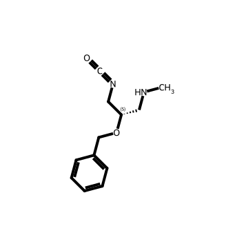 CNC[C@@H](CN=C=O)OCc1ccccc1